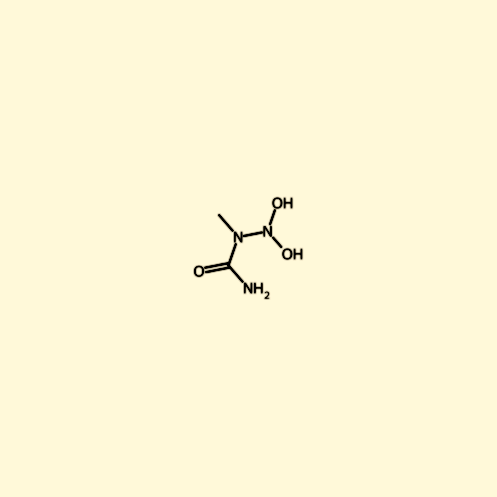 CN(C(N)=O)N(O)O